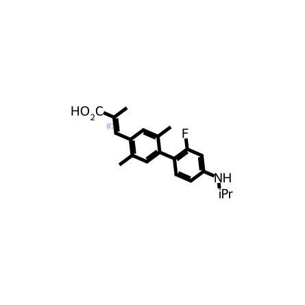 C/C(=C\c1cc(C)c(-c2ccc(NC(C)C)cc2F)cc1C)C(=O)O